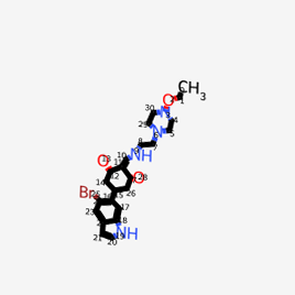 CCON1CCN(CCNC=C2C(=O)CC(c3cc4[nH]ccc4cc3Br)CC2=O)CC1